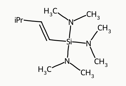 CC(C)/C=C/[Si](N(C)C)(N(C)C)N(C)C